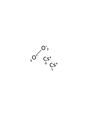 [Cs+].[Cs+].[O-][O-]